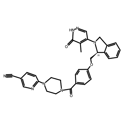 Cc1c(N2Cc3ccccc3[C@H]2COc2ccc(C(=O)N3CCN(c4ccc(C#N)cn4)CC3)cc2)cn[nH]c1=O